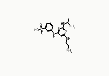 CC(N)Nc1nc(NCCN)nc(Nc2cccc(S(=O)(=O)O)c2)n1